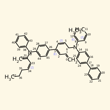 C=C/C=C(\C=C/CN(C(/C=C\C)=C/C)c1ccc(-c2ccccc2)cc1)c1ccc(N(C(=C)/C=C\CCC)c2ccccc2)cc1